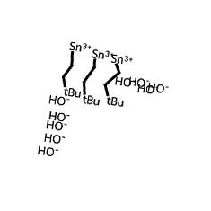 CC(C)(C)C[CH2][Sn+3].CC(C)(C)C[CH2][Sn+3].CC(C)(C)C[CH2][Sn+3].[OH-].[OH-].[OH-].[OH-].[OH-].[OH-].[OH-].[OH-].[OH-]